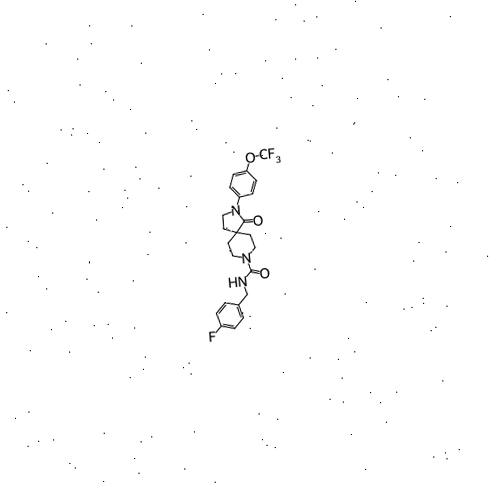 O=C(NCc1ccc(F)cc1)N1CCC2(CC1)CCN(c1ccc(OC(F)(F)F)cc1)C2=O